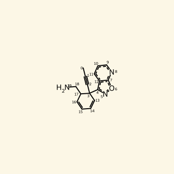 CC#CC1(c2noc3ncccc23)C=CC=CC1CN